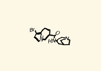 O=C(N[C@@H]1CC2CCN(C2)C1)c1ccc2c(Br)ccn2c1